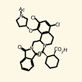 CC(=O)N1CC[C@H](Oc2c(Cl)cc(Cl)c3c2C(CN2C(=O)c4ccccc4C2=O)N(C(=O)[C@@H]2CCCC[C@@H]2C(=O)O)CC3)C1